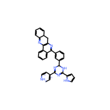 C/C=C(\C=C/N)C1=NC(c2cccc(-c3nc4c(c5ccccc35)N=C3C=CC=CC3C4)c2)NC(c2ccc[nH]2)=N1